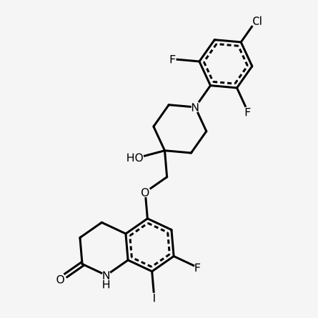 O=C1CCc2c(OCC3(O)CCN(c4c(F)cc(Cl)cc4F)CC3)cc(F)c(I)c2N1